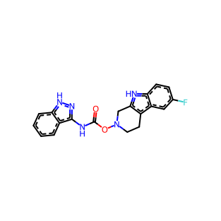 O=C(Nc1n[nH]c2ccccc12)ON1CCc2c([nH]c3ccc(F)cc23)C1